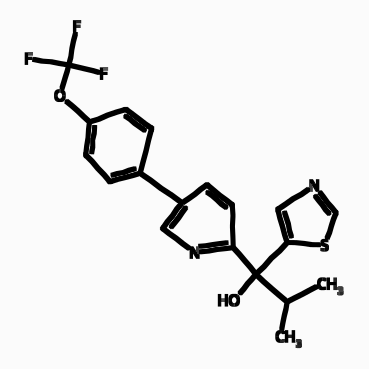 CC(C)C(O)(c1ccc(-c2ccc(OC(F)(F)F)cc2)cn1)c1cncs1